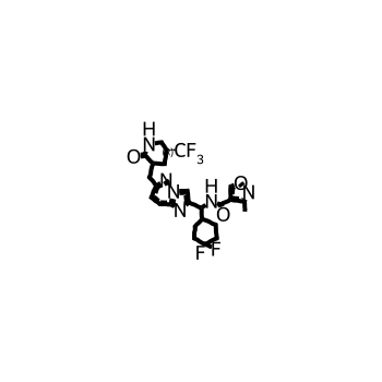 Cc1nocc1C(=O)NC(c1cn2nc(CC3C[C@@H](C(F)(F)F)CNC3=O)ccc2n1)C1CCC(F)(F)CC1